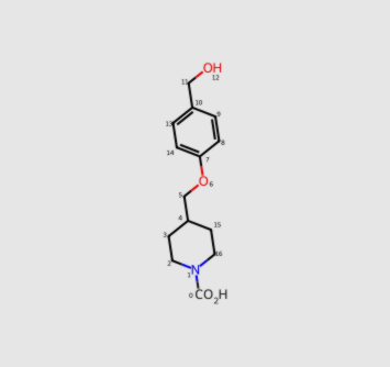 O=C(O)N1CCC(COc2ccc(CO)cc2)CC1